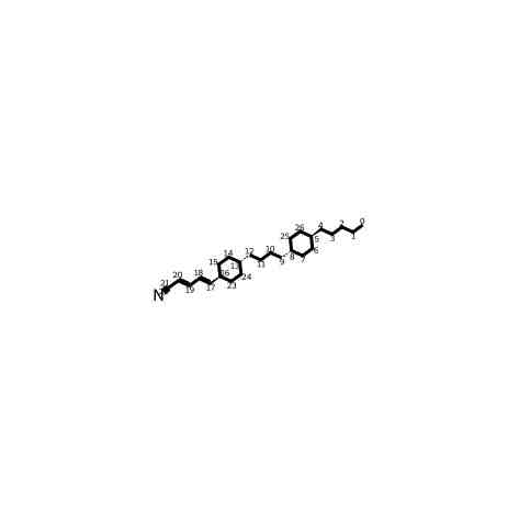 CCCCC[C@H]1CC[C@H](CCCC[C@H]2CC[C@H](C=CC=CC#N)CC2)CC1